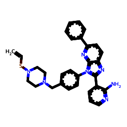 C=CSN1CCN(Cc2ccc(-n3c(-c4cccnc4N)nc4ccc(-c5ccccc5)nc43)cc2)CC1